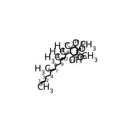 CC=CCC/C(C)=C/CC/C(C)=C/C(C)[C@H]1[C@H](C)C(=O)C(OC)=C(OC)[C@H]1O